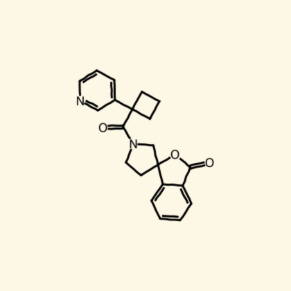 O=C1OC2(CCN(C(=O)C3(c4cccnc4)CCC3)C2)c2ccccc21